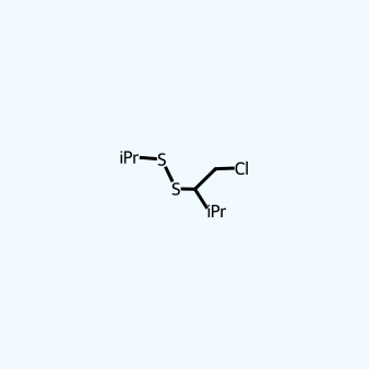 CC(C)SSC(CCl)C(C)C